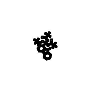 CC1C2=C(CCCC2)C2=C1[CH]([Ti]([O]C(=O)C(C)(C)C)([O]C(=O)C(C)(C)C)[O]C(=O)C(C)(C)C)CCC2